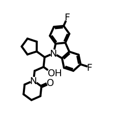 O=C1CCCCN1CC(O)C(C1CCCC1)n1c2ccc(F)cc2c2cc(F)ccc21